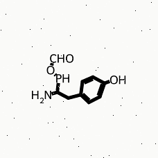 NC(Cc1ccc(O)cc1)POC=O